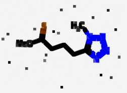 COC(=S)CCCc1nnnn1C